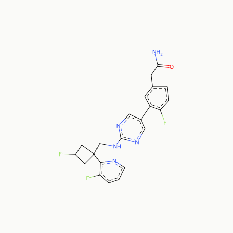 NC(=O)Cc1ccc(F)c(-c2cnc(NCC3(c4ncccc4F)CC(F)C3)nc2)c1